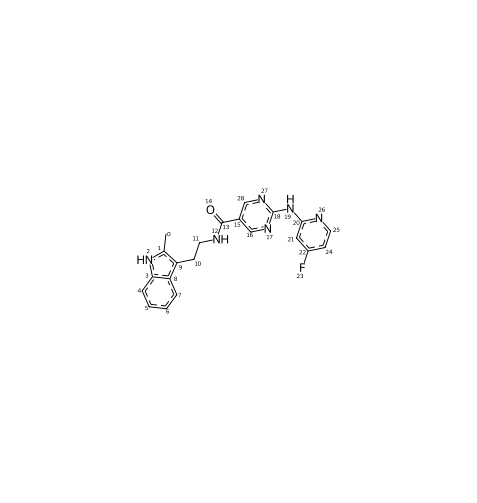 Cc1[nH]c2ccccc2c1CCNC(=O)c1cnc(Nc2cc(F)ccn2)nc1